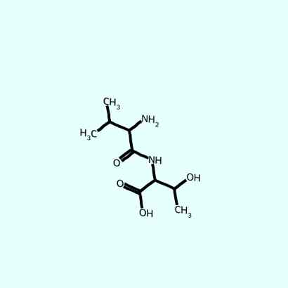 CC(C)C(N)C(=O)NC(C(=O)O)C(C)O